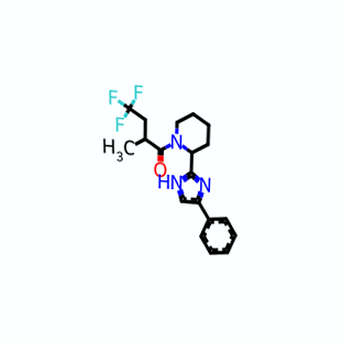 CC(CC(F)(F)F)C(=O)N1CCCCC1c1nc(-c2ccccc2)c[nH]1